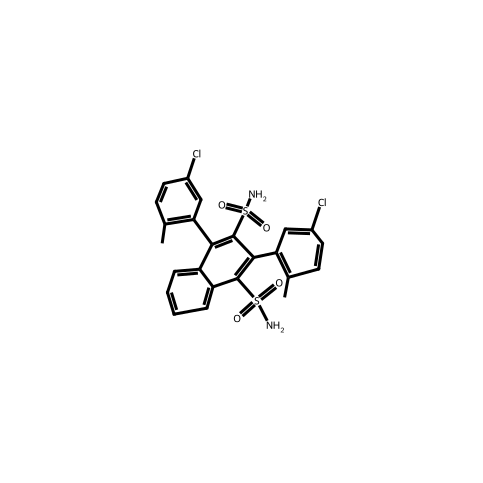 Cc1ccc(Cl)cc1-c1c(S(N)(=O)=O)c(-c2cc(Cl)ccc2C)c2ccccc2c1S(N)(=O)=O